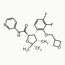 C[C@H]1[C@@H](c2ccc(F)c(F)c2OCC2COC2)[C@H](C(=O)Nc2cccnc2)O[C@@]1(C)C(F)(F)F